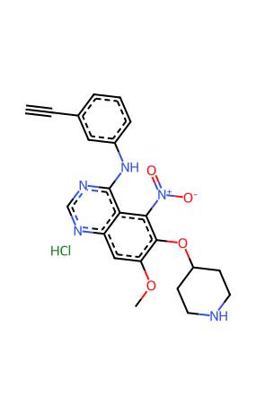 C#Cc1cccc(Nc2ncnc3cc(OC)c(OC4CCNCC4)c([N+](=O)[O-])c23)c1.Cl